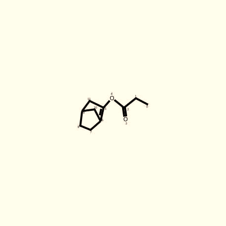 CCC(=O)OC1=C2CCC(C2)C1